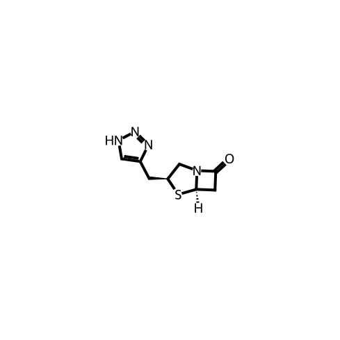 O=C1C[C@H]2S[C@@H](Cc3c[nH]nn3)CN12